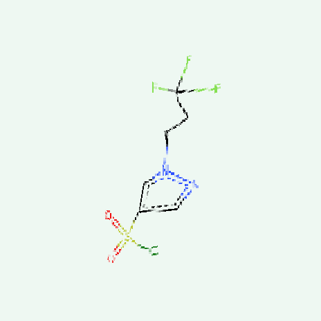 O=S(=O)(Cl)c1cnn(CCC(F)(F)F)c1